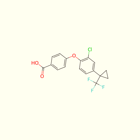 O=C(O)c1ccc(Oc2ccc(C3(C(F)(F)F)CC3)cc2Cl)cc1